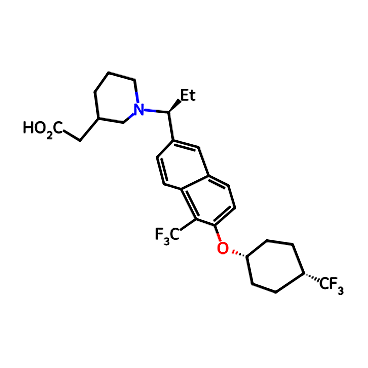 CC[C@@H](c1ccc2c(C(F)(F)F)c(O[C@H]3CC[C@@H](C(F)(F)F)CC3)ccc2c1)N1CCCC(CC(=O)O)C1